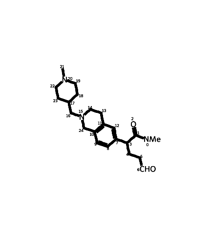 CNC(=O)C(CCC=O)c1ccc2c(c1)CCN(CC1CCN(C)CC1)C2